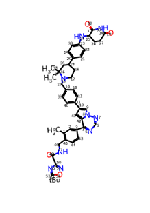 Cc1cc(-c2ncnn3cc(-c4ccc(CN5CCC(c6ccc(NC7CCC(=O)NC7=O)cc6)CC5(C)C)cc4)cc23)ccc1CNC(=O)c1noc(C(C)(C)C)n1